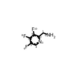 NCc1ncc(F)c(F)c1F